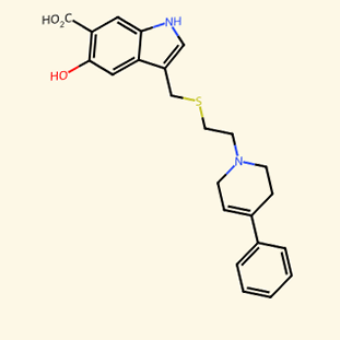 O=C(O)c1cc2[nH]cc(CSCCN3CC=C(c4ccccc4)CC3)c2cc1O